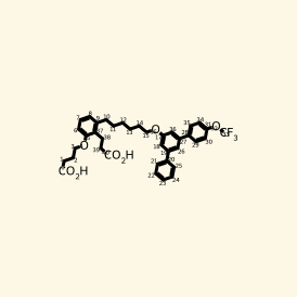 O=C(O)CCCOc1cccc(CCCCCCOc2cc(-c3ccccc3)cc(-c3ccc(OC(F)(F)F)cc3)c2)c1CCC(=O)O